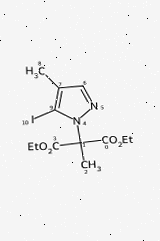 CCOC(=O)C(C)(C(=O)OCC)n1ncc(C)c1I